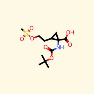 CC(C)(C)OC(=O)NC1(C(=O)O)CC1CCOS(C)(=O)=O